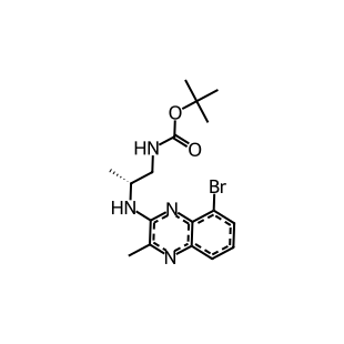 Cc1nc2cccc(Br)c2nc1N[C@H](C)CNC(=O)OC(C)(C)C